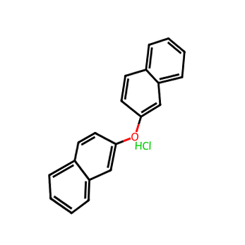 Cl.c1ccc2cc(Oc3ccc4ccccc4c3)ccc2c1